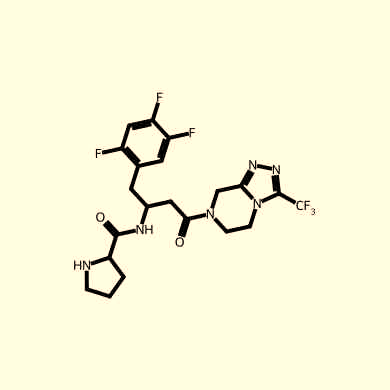 O=C(NC(CC(=O)N1CCn2c(nnc2C(F)(F)F)C1)Cc1cc(F)c(F)cc1F)C1CCCN1